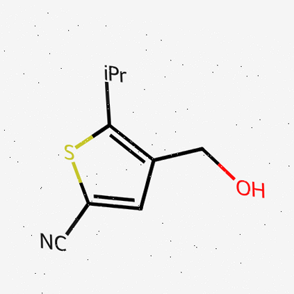 CC(C)c1sc(C#N)cc1CO